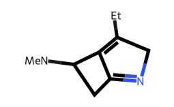 CCC1=C2C(=NC1)CC2NC